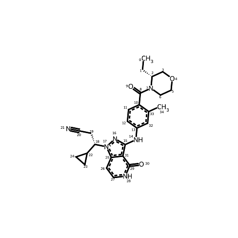 CC[C@@H]1COCCN1C(=O)c1ccc(Nc2nn([C@@H](CC#N)C3CC3)c3cc[nH]c(=O)c23)cc1C